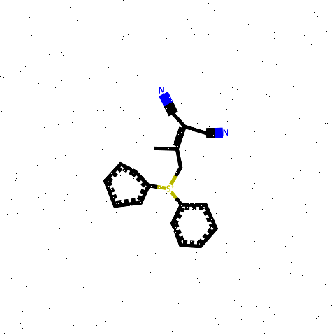 CC(C[S+](c1ccccc1)c1ccccc1)=C(C#N)C#N